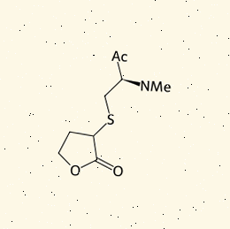 CN[C@@H](CSC1CCOC1=O)C(C)=O